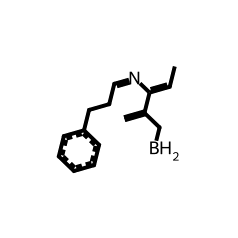 BCC(=C)C(=C/C)/N=C\CCc1ccccc1